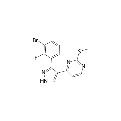 CSc1nccc(-c2c[nH]nc2-c2cccc(Br)c2F)n1